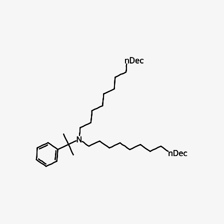 CCCCCCCCCCCCCCCCCCN(CCCCCCCCCCCCCCCCCC)C(C)(C)c1ccccc1